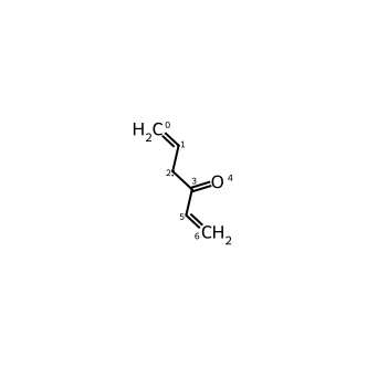 C=C[CH]C(=O)C=C